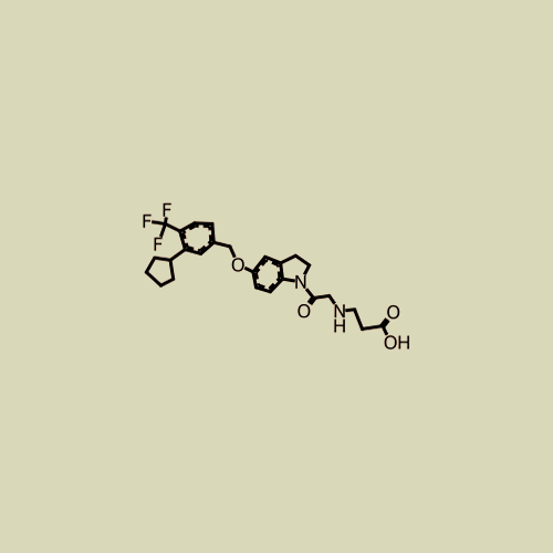 O=C(O)CCNCC(=O)N1CCc2cc(OCc3ccc(C(F)(F)F)c(C4CCCC4)c3)ccc21